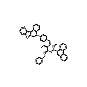 C=N\C(=N/C(=N\Cc1ccccc1)C(/C=C\c1ccc(-c2cc3oc4cccnc4c3c3ccccc23)cc1)=C\C)c1cc2ccccc2c2ccccc12